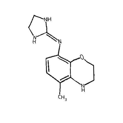 Cc1ccc(N=C2NCCN2)c2c1NCCO2